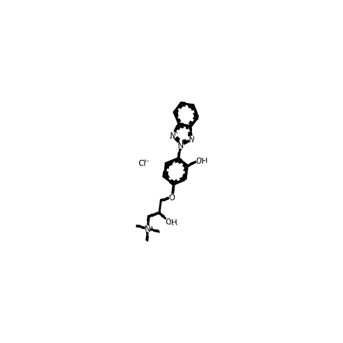 C[N+](C)(C)CC(O)COc1ccc(-n2nc3ccccc3n2)c(O)c1.[Cl-]